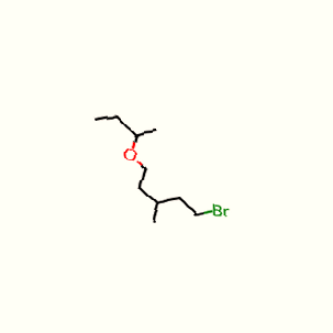 CCC(C)OCCC(C)CCBr